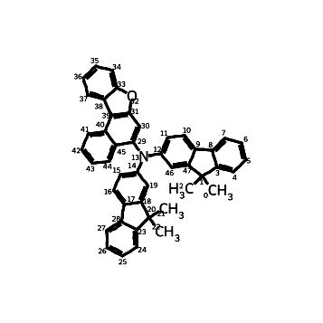 CC1(C)c2ccccc2-c2ccc(N(c3ccc4c(c3)C(C)(C)c3ccccc3-4)c3cc4oc5ccccc5c4c4ccccc34)cc21